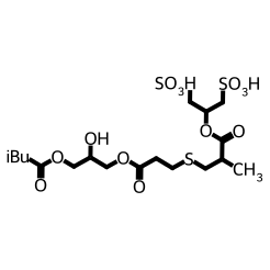 CCC(C)C(=O)OCC(O)COC(=O)CCSCC(C)C(=O)OC(CS(=O)(=O)O)CS(=O)(=O)O